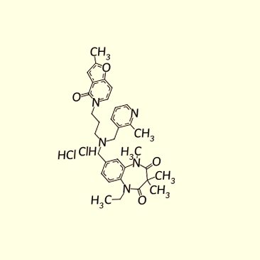 CCN1C(=O)C(C)(C)C(=O)N(C)c2cc(CN(CCCn3ccc4oc(C)cc4c3=O)Cc3cccnc3C)ccc21.Cl.Cl